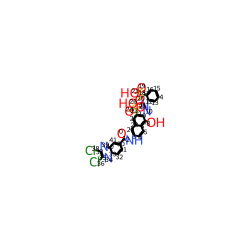 O=C(Nc1ccc2c(O)c(/N=N/c3ccccc3S(=O)(=O)O)c(S(=O)(=O)O)cc2c1)c1ccc2nc(Cl)c(Cl)nc2c1